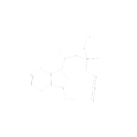 CCCCCn1cc(C(=O)C2C(C)C2(C)CN=[N+]=[N-])c2ccccc21